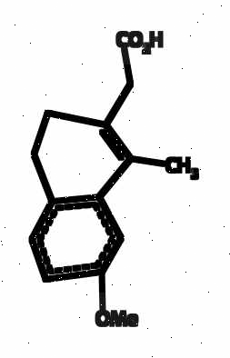 COc1ccc2c(c1)C(C)=C(CC(=O)O)CC2